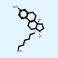 CCCCCCCCCCCCCCCC[C@]12CCC3=C(CCc4cc(OC)ccc43)[C@@H]1CC[C@@H]2O